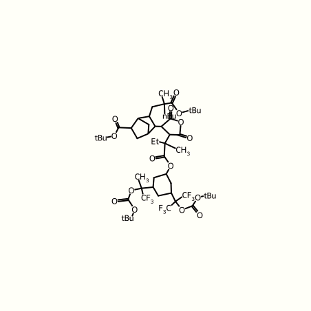 CCCCC(C)(CC1C2CC(CC2C(=O)OC(C)(C)C)C1C1C(=O)OC(=O)C1C(C)(CC)C(=O)OC1CC(C(C)(OC(=O)OC(C)(C)C)C(F)(F)F)CC(C(OC(=O)OC(C)(C)C)(C(F)(F)F)C(F)(F)F)C1)C(=O)OC(C)(C)C